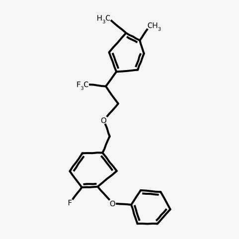 Cc1ccc(C(COCc2ccc(F)c(Oc3ccccc3)c2)C(F)(F)F)cc1C